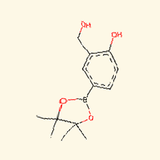 CC1(C)OB(c2ccc(O)c(CO)c2)OC1(C)C